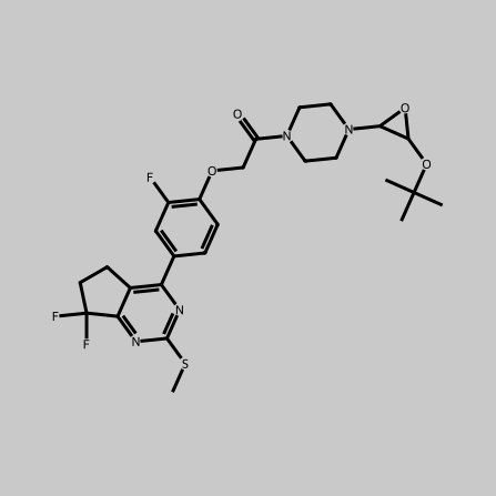 CSc1nc(-c2ccc(OCC(=O)N3CCN(C4OC4OC(C)(C)C)CC3)c(F)c2)c2c(n1)C(F)(F)CC2